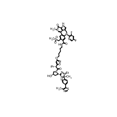 CCN1N=C([C@@H]2C[C@@H](O)CN2C(=O)[C@@H](c2cc(OCCCCCNC(=O)c3cc4c(cc3CS(C)(=O)=O)-c3cn(C)c(=O)c5[nH]cc(c35)CN4c3ncc(F)cc3F)no2)C(C)C)N[C@@]1(C)c1ccc(-c2scnc2C)cc1